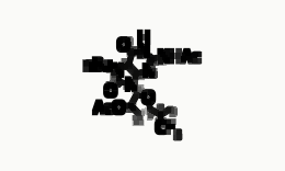 CCCCn1c(=O)n([C@@H]2O[C@H]([C@@H](C)C(F)(F)F)C[C@H]2OC(C)=O)c2nc(NC(C)=O)[nH]c(=O)c21